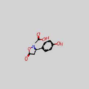 CC(=O)O.O=C1CC(c2ccc(O)cc2)=NO1